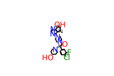 C[C@@H]1C[C@@H](O)c2ncnc(N3CCN(C(=O)[C@@H](CN4CCC(O)CC4)c4ccc(Cl)c(F)c4)CC3)c21